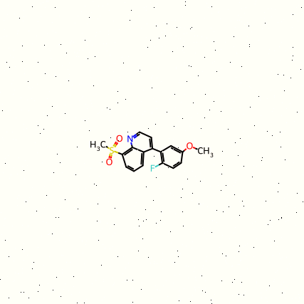 COc1ccc(F)c(-c2ccnc3c(S(C)(=O)=O)cccc23)c1